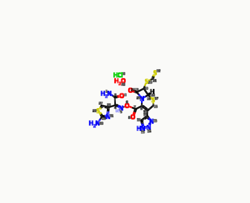 Cl.NC(=O)/C(=N\OC(=O)C1=C(c2c[nH]nn2)CS[C@H]2C(SC=S)C(=O)N12)c1csc(N)n1.O